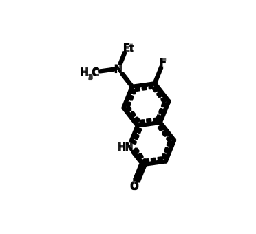 CCN(C)c1cc2[nH]c(=O)ccc2cc1F